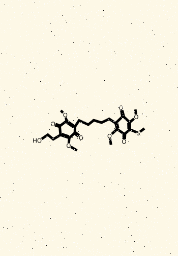 COC1=C(CCO)C(=O)C(OC)=C(CCCCCC2=C(OC)C(=O)C(SC)=C(OC)C2=O)C1=O